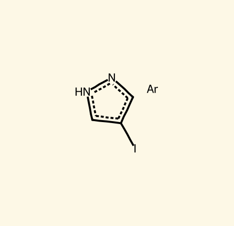 Ic1cn[nH]c1.[Ar]